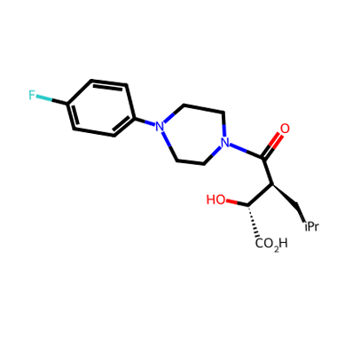 CC(C)C[C@H](C(=O)N1CCN(c2ccc(F)cc2)CC1)[C@@H](O)C(=O)O